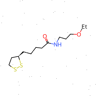 CCOCCCNC(=O)CCCC[C@@H]1CCSS1